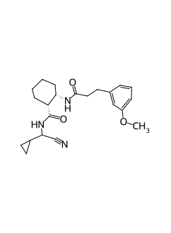 COc1cccc(CCC(=O)N[C@H]2CCCC[C@H]2C(=O)NC(C#N)C2CC2)c1